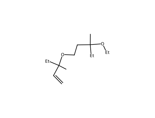 C=CC(C)(CC)OCCC(C)(CC)OCC